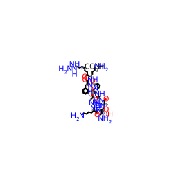 C[C@H](NC(=O)[C@@H](NC(=O)[C@@H](N)CCCCN)[C@@H](O)CN)C(=O)NCC(=O)N[C@H](CCCN)C(=O)N1CCC[C@H]1C(=O)N[C@@H](Cc1cccc(C(F)(F)F)c1)C(=O)N[C@@H](CCCCN)C(=O)CC/C(=C\CCNC(=N)N)C(=O)O